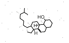 CC(C)[C@@H](C)CC[C@@H](C)[C@H]1CC[C@H]2C3=CCC4CCCC(O)[C@]4(C)[C@H]3CC[C@]12C